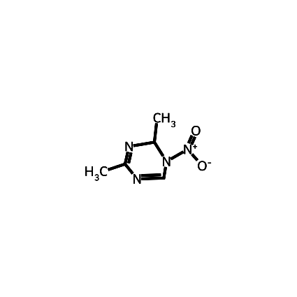 CC1=NC(C)N([N+](=O)[O-])C=N1